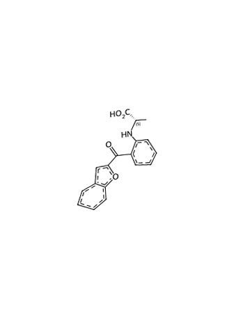 C[C@H](Nc1ccccc1C(=O)c1cc2ccccc2o1)C(=O)O